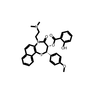 COc1ccc([C@@H]2Sc3c(ccc4ccccc34)N(CCN(C)C)C(=O)[C@@H]2OC(=O)c2ccccc2O)cc1